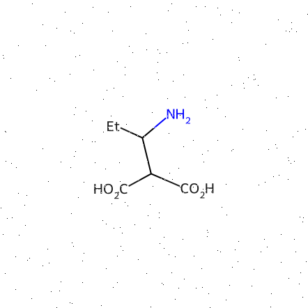 CCC(N)C(C(=O)O)C(=O)O